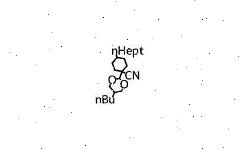 CCCCCCCC1CCC(C#N)(C2OCC(CCCC)CO2)CC1